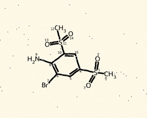 CS(=O)(=O)c1cc(Br)c(N)c(S(C)(=O)=O)c1